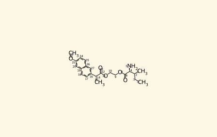 CCC(C)[C@H](N)C(=O)OCCOC(=O)C(C)c1ccc2cc(OC)ccc2c1